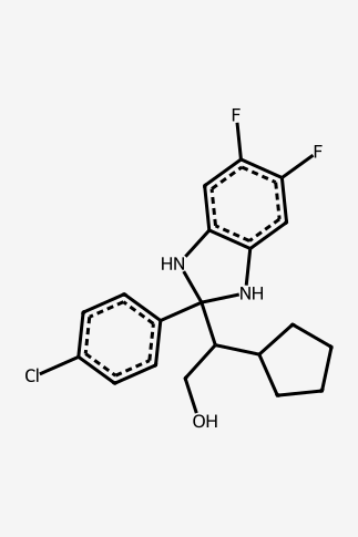 OCC(C1CCCC1)C1(c2ccc(Cl)cc2)Nc2cc(F)c(F)cc2N1